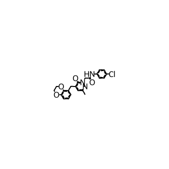 Cc1cc(Cc2cccc3c2OCCO3)c(=O)n(CC(=O)Nc2ccc(Cl)cc2)n1